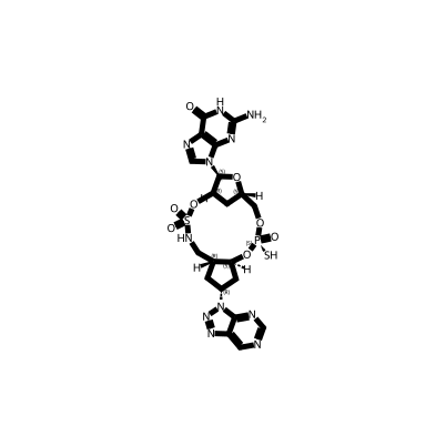 Nc1nc2c(ncn2[C@H]2O[C@@H]3CO[P@](=O)(S)O[C@H]4C[C@H](n5nnc6cncnc65)C[C@@H]4CNS(=O)(=O)O[C@@H]2C3)c(=O)[nH]1